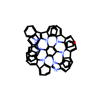 c1ccc(-n2c3ccccc3c3c4ccccc4n(-c4c(-n5c6ccccc6c6ccccc65)c(-n5c6ccccc6c6ccccc65)c(-n5cnc6ccccc65)c(-n5c6ccccc6c6ccccc65)c4-n4c5ccccc5c5ccccc54)c32)cc1